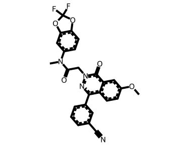 COc1ccc2c(-c3cccc(C#N)c3)nn(CC(=O)N(C)c3ccc4c(c3)OC(F)(F)O4)c(=O)c2c1